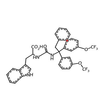 O=C(NC(Cc1c[nH]c2ccccc12)C(=O)O)NC(Cc1ccccc1)(c1cccc(OC(F)(F)F)c1)c1cccc(OC(F)(F)F)c1